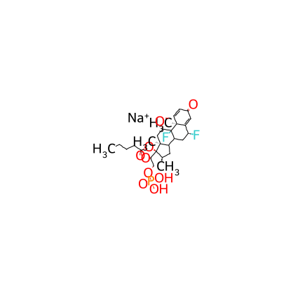 CCCCC(=O)O[C@]1(C(=O)COP(=O)(O)O)[C@H](C)CC2C3C[C@H](F)C4=CC(=O)C=C[C@]4(C)[C@@]3(F)C([O-])C[C@@]21C.[Na+]